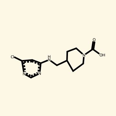 O=C(O)N1CCC(CNc2cc(Cl)ncn2)CC1